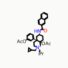 CC(=O)Oc1cccc([C@]23CC[N@+](CC(C)C)(CC4CC4)CC2(OC(C)=O)CC[C@@H](NC(=O)c2ccc4ccccc4c2)C3)c1